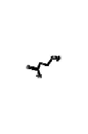 [2H]C(=O)CCC(=O)O